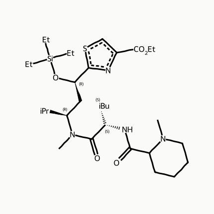 CCOC(=O)c1csc([C@@H](C[C@H](C(C)C)N(C)C(=O)[C@@H](NC(=O)C2CCCCN2C)[C@@H](C)CC)O[Si](CC)(CC)CC)n1